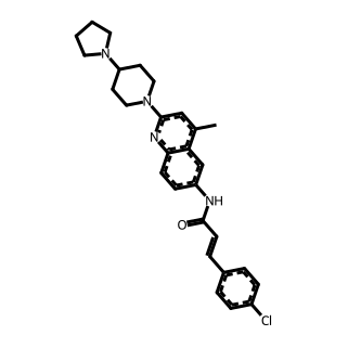 Cc1cc(N2CCC(N3CCCC3)CC2)nc2ccc(NC(=O)C=Cc3ccc(Cl)cc3)cc12